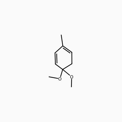 COC1(OC)C=CC(C)=CC1